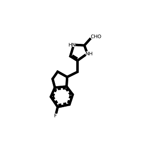 O=CC1NC=C(CC2CCc3cc(F)ccc32)N1